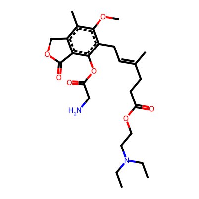 CCN(CC)CCOC(=O)CC/C(C)=C/Cc1c(OC)c(C)c2c(c1OC(=O)CN)C(=O)OC2